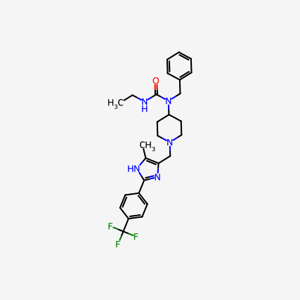 CCNC(=O)N(Cc1ccccc1)C1CCN(Cc2nc(-c3ccc(C(F)(F)F)cc3)[nH]c2C)CC1